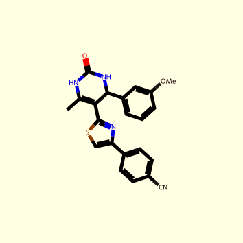 COc1cccc(C2NC(=O)NC(C)=C2c2nc(-c3ccc(C#N)cc3)cs2)c1